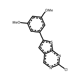 COc1cc(OC)cc(-c2cc3cnc(Cl)nc3s2)c1